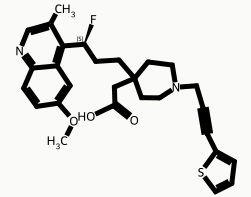 COc1ccc2ncc(C)c([C@@H](F)CCC3(CC(=O)O)CCN(CC#Cc4cccs4)CC3)c2c1